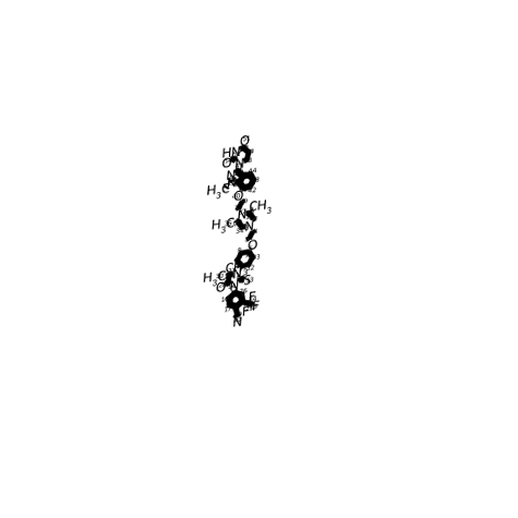 C[C@@H]1CN(CCOC2CCC(N3C(=S)N(c4ccc(C#N)c(C(F)(F)F)c4)C(=O)C3(C)C)CC2)C[C@H](C)N1CCOc1cccc2c(N3CCC(=O)NC3=O)nn(C)c12